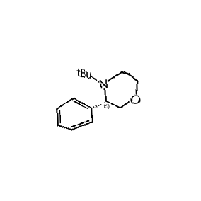 CC(C)(C)N1CCOC[C@@H]1c1ccccc1